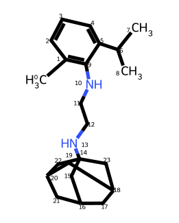 Cc1cccc(C(C)C)c1NCCNC12CC3CC(CC(C3)C1)C2